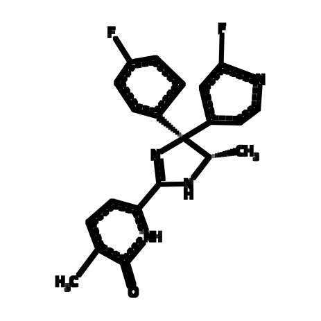 Cc1ccc(C2=N[C@@](c3ccc(F)cc3)(c3ccnc(F)c3)[C@H](C)N2)[nH]c1=O